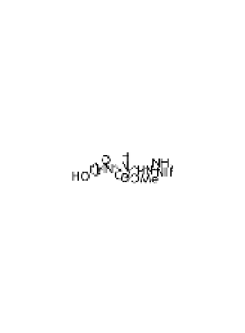 COC(=O)C(CCCNC(=N)N)NC(=O)CNC(=O)c1ccc(O)cc1